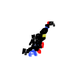 COC1=CN([C@H]2CC[C@H](C(C)c3scc(C(=O)NCc4c(C)cc(C)[nH]c4=O)c3C)CC2)C1